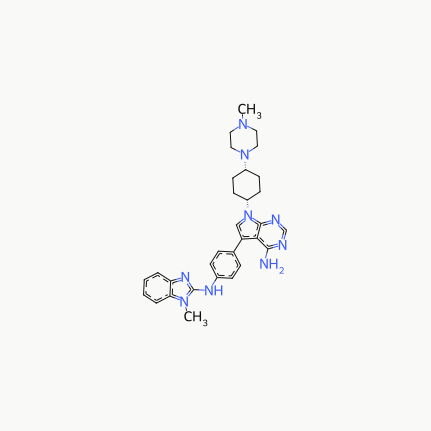 CN1CCN([C@H]2CC[C@@H](n3cc(-c4ccc(Nc5nc6ccccc6n5C)cc4)c4c(N)ncnc43)CC2)CC1